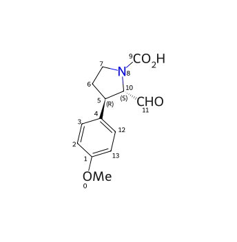 COc1ccc([C@H]2CCN(C(=O)O)[C@@H]2C=O)cc1